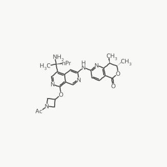 CCC[C@@](C)(N)c1cnc(OC2CN(C(C)=O)C2)c2cnc(Nc3ccc4c(n3)[C@@H](C)[C@H](C)OC4=O)cc12